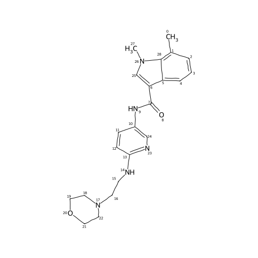 Cc1cccc2c(C(=O)Nc3ccc(NCCN4CCOCC4)nc3)cn(C)c12